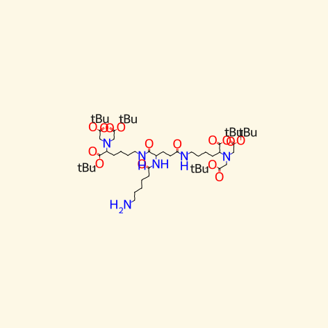 CC(C)(C)OC(=O)CN(CC(=O)OC(C)(C)C)C(CCCCNC(=O)CCC(NC(=O)CCCCCN)C(=O)NCCCCC(C(=O)OC(C)(C)C)N(CC(=O)OC(C)(C)C)CC(=O)OC(C)(C)C)C(=O)OC(C)(C)C